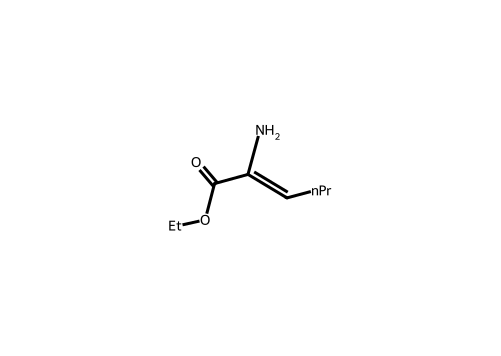 CCCC=C(N)C(=O)OCC